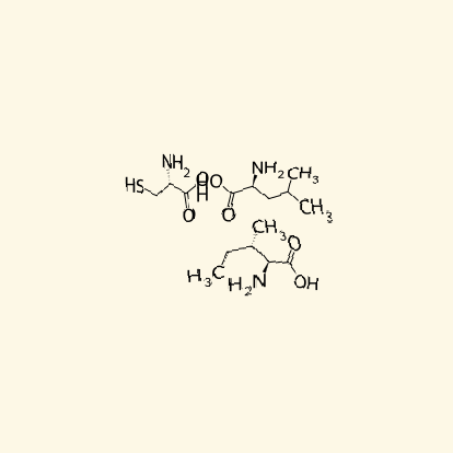 CC(C)C[C@H](N)C(=O)O.CC[C@H](C)[C@H](N)C(=O)O.N[C@@H](CS)C(=O)O